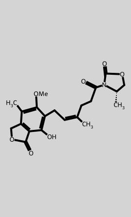 COc1c(C)c2c(c(O)c1CC=C(C)CCC(=O)N1C(=O)OC[C@@H]1C)C(=O)OC2